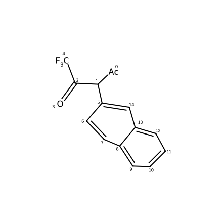 CC(=O)C(C(=O)C(F)(F)F)c1ccc2ccccc2c1